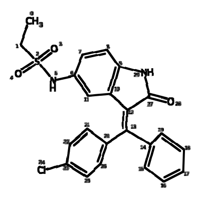 CCS(=O)(=O)Nc1ccc2c(c1)C(=C(c1ccccc1)c1ccc(Cl)cc1)C(=O)N2